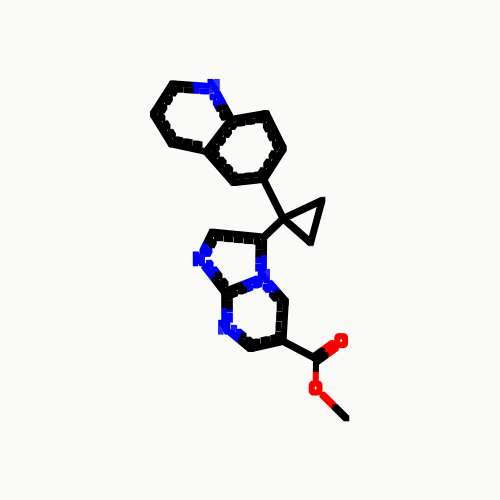 COC(=O)c1cnc2ncc(C3(c4ccc5ncccc5c4)CC3)n2c1